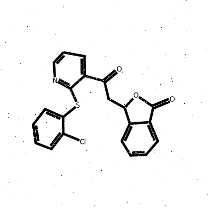 O=C1OC(CC(=O)c2cccnc2Sc2ccccc2Cl)c2ccccc21